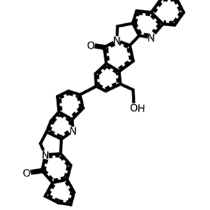 O=c1c2ccccc2cc2n1Cc1cc3ccc(-c4cc(CO)c5cc6n(c(=O)c5c4)Cc4cc5ccccc5nc4-6)cc3nc1-2